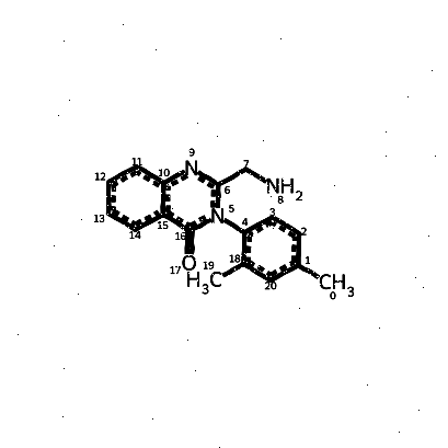 Cc1ccc(-n2c(CN)nc3ccccc3c2=O)c(C)c1